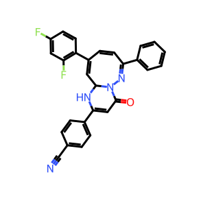 N#Cc1ccc(C2=CC(=O)N3\N=C(c4ccccc4)/C=C\C(c4ccc(F)cc4F)=C/C3N2)cc1